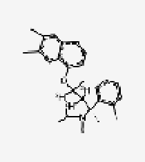 [2H]C(C)(Oc1cccc2cc(C)c(C)cc12)C([2H])([2H])[C@@](C)(c1ccccc1C)N(C)C(C)C